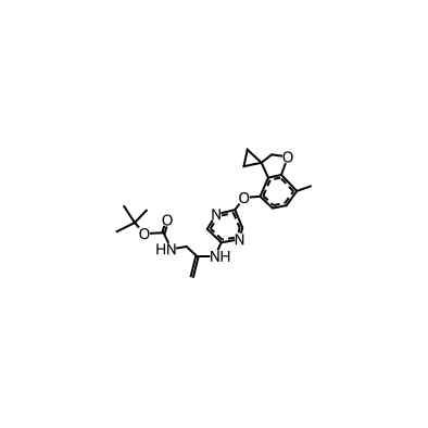 C=C(CNC(=O)OC(C)(C)C)Nc1cnc(Oc2ccc(C)c3c2C2(CC2)CO3)cn1